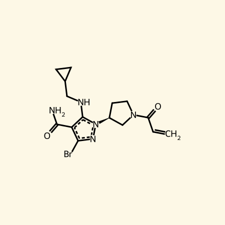 C=CC(=O)N1CC[C@H](n2nc(Br)c(C(N)=O)c2NCC2CC2)C1